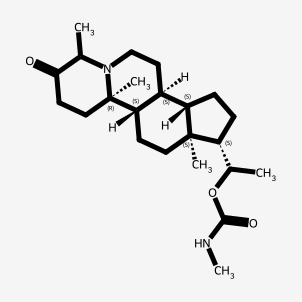 CNC(=O)OC(C)[C@H]1CC[C@H]2[C@@H]3CCN4C(C)C(=O)CC[C@]4(C)[C@H]3CC[C@]12C